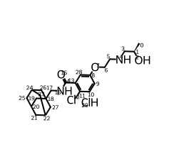 C[C@@H](O)CNCCOc1ccc(Cl)c(C(=O)NCC23CC4CC(CC(C4)C2)C3)c1.Cl